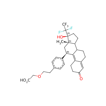 C[C@]12C[C@H](c3ccc(CCOCC(=O)O)cc3)C3=C4CCC(=O)C=C4CCC3C1CC[C@@]2(O)C(F)(F)C(F)(F)F